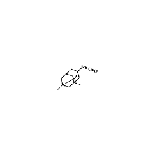 CC12CC3CC(C)(C1)CC(N=C=O)(C3)C2